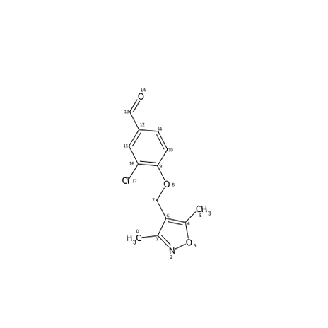 Cc1noc(C)c1COc1ccc(C=O)cc1Cl